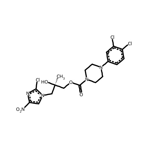 C[C@](O)(COC(=O)N1CCN(c2ccc(Cl)c(Cl)c2)CC1)Cn1cc([N+](=O)[O-])nc1Cl